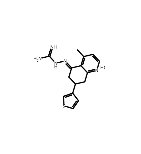 Cc1ccnc2c1C(=NNC(=N)N)CC(c1ccsc1)C2.Cl